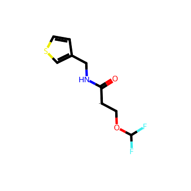 O=C([CH]COC(F)F)NCc1ccsc1